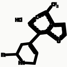 CCC1CC(c2ccc(C(F)(F)F)c3ccoc23)=CCN1.Cl